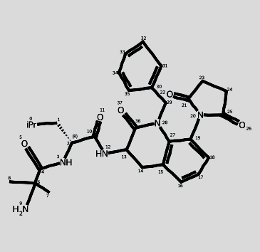 CC(C)C[C@@H](NC(=O)C(C)(C)N)C(=O)NC1Cc2cccc(N3C(=O)CCC3=O)c2N(Cc2ccccc2)C1=O